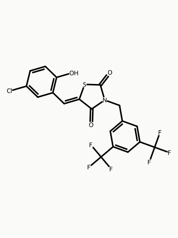 O=C1SC(=Cc2cc(Cl)ccc2O)C(=O)N1Cc1cc(C(F)(F)F)cc(C(F)(F)F)c1